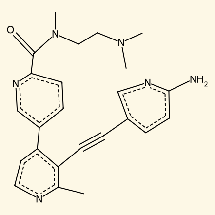 Cc1nccc(-c2ccc(C(=O)N(C)CCN(C)C)nc2)c1C#Cc1ccc(N)nc1